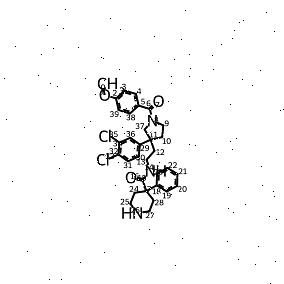 COc1ccc(C(=O)N2CCC(CCNC(=O)C3(c4ccccc4)CCNCC3)(c3ccc(Cl)c(Cl)c3)C2)cc1